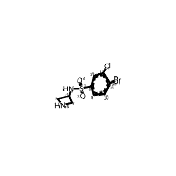 O=S(=O)(NC1CNC1)c1ccc(Br)c(Cl)c1